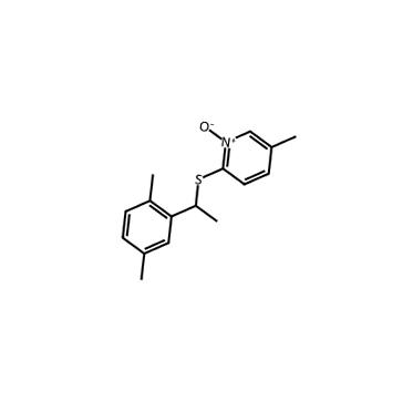 Cc1ccc(C)c(C(C)Sc2ccc(C)c[n+]2[O-])c1